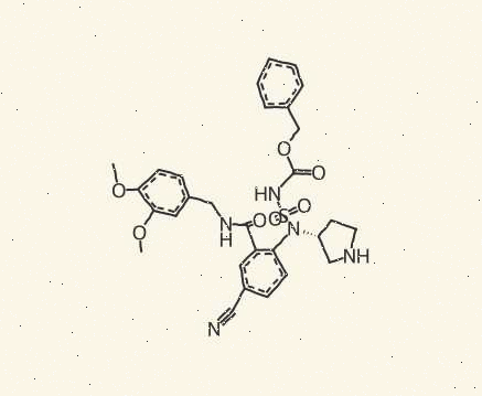 COc1ccc(CNC(=O)c2cc(C#N)ccc2N([C@@H]2CCNC2)S(=O)(=O)NC(=O)OCc2ccccc2)cc1OC